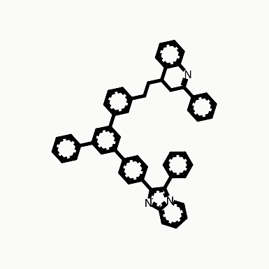 c1ccc(C2=Nc3ccccc3C(CCc3cccc(-c4cc(-c5ccccc5)cc(-c5ccc(-c6nc7ccccn7c6-c6ccccc6)cc5)c4)c3)C2)cc1